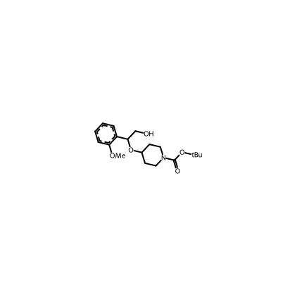 COc1ccccc1C(CO)OC1CCN(C(=O)OC(C)(C)C)CC1